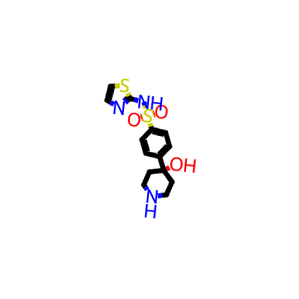 O=S(=O)(Nc1nccs1)c1ccc(C2(O)CCNCC2)cc1